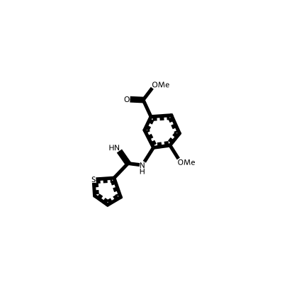 COC(=O)c1ccc(OC)c(NC(=N)c2cccs2)c1